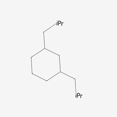 CC(C)CC1CCCC(CC(C)C)C1